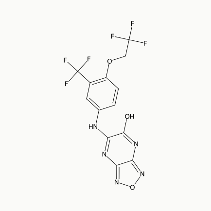 Oc1nc2nonc2nc1Nc1ccc(OCC(F)(F)F)c(C(F)(F)F)c1